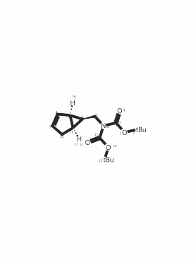 CC(C)(C)OC(=O)N(C[C@@H]1[C@@H]2C=CC[C@@H]21)C(=O)OC(C)(C)C